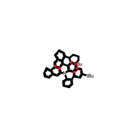 CC(C)(C)c1cc(-c2ccccc2N(c2ccc3ccccc3c2)c2ccccc2-c2cccc3cccc(C4CCCCC4)c23)cc(C(C)(C)C)c1